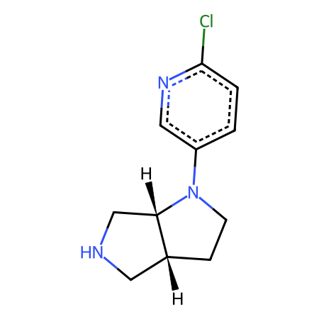 Clc1ccc(N2CC[C@@H]3CNC[C@@H]32)cn1